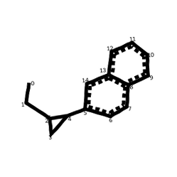 CC[C]1CC1c1ccc2ccccc2c1